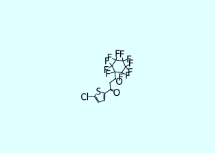 O=C(CC(=O)C1(F)C(F)(F)C(F)(F)C(F)(F)C(F)(F)C1(F)F)c1ccc(Cl)s1